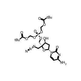 CC(C)(C)C(=O)OCOP(=O)(OCOC(=O)C(C)(C)C)OC[C@@]1(CN=[N+]=[N-])O[C@@H](n2ccc(N)nc2=O)C[C@@H]1O